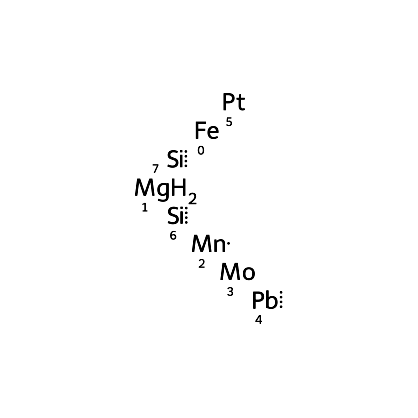 [Fe].[MgH2].[Mn].[Mo].[Pb].[Pt].[Si].[Si]